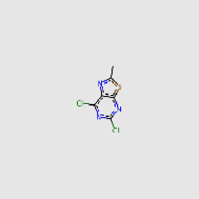 Cc1nc2c(Cl)nc(Cl)nc2s1